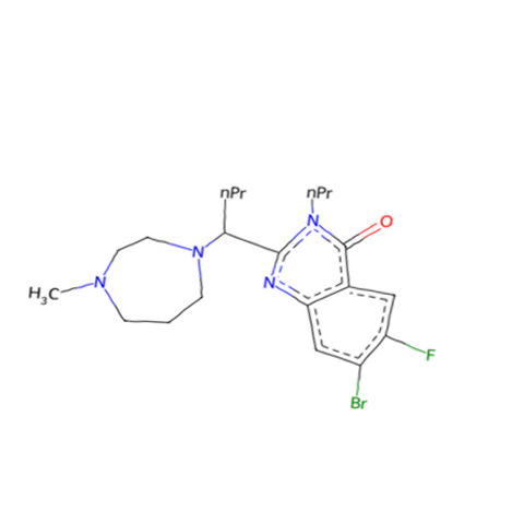 CCCC(c1nc2cc(Br)c(F)cc2c(=O)n1CCC)N1CCCN(C)CC1